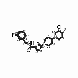 C[C@@H]1CCCN(C2CCN(c3ncc(C(=O)NCc4cccc(F)c4)s3)CC2)C1